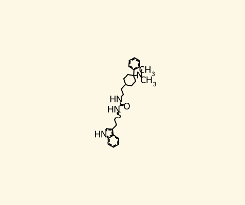 CN(C)C1(c2ccccc2)CCC(CCNC(=O)NSCCc2c[nH]c3ccccc23)CC1